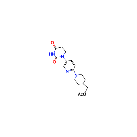 CC(=O)OCC1CCN(c2ccc(N3CCC(=O)NC3=O)cn2)CC1